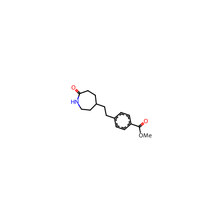 COC(=O)c1ccc(CCC2CCNC(=O)CC2)cc1